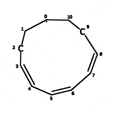 [CH]1CCC=CC=CC=CCC1